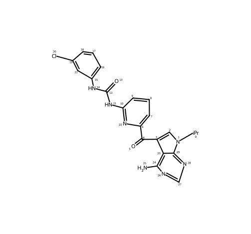 CC(C)n1cc(C(=O)c2cccc(NC(=O)Nc3cccc(Cl)c3)n2)c2c(N)ncnc21